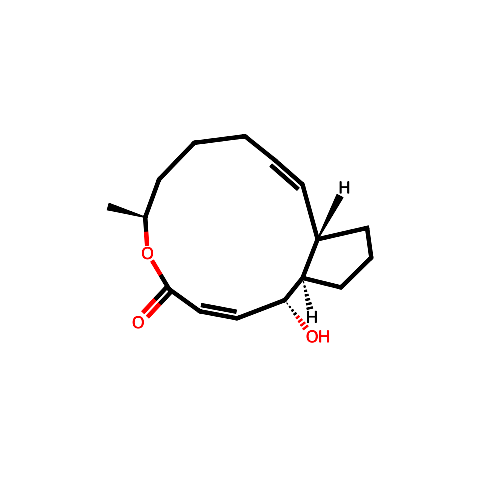 C[C@H]1CCC/C=C\[C@@H]2CCC[C@H]2[C@H](O)/C=C\C(=O)O1